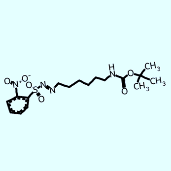 CC(C)(C)OC(=O)NCCCCCCN=NS(=O)(=O)c1ccccc1[N+](=O)[O-]